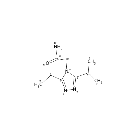 CCc1nnc(C(C)C)n1CC(N)=O